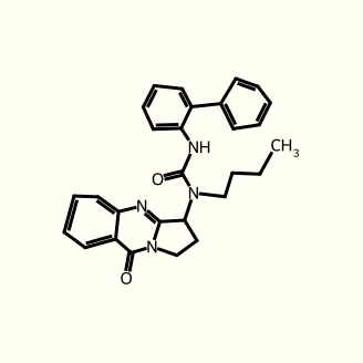 CCCCN(C(=O)Nc1ccccc1-c1ccccc1)C1CCn2c1nc1ccccc1c2=O